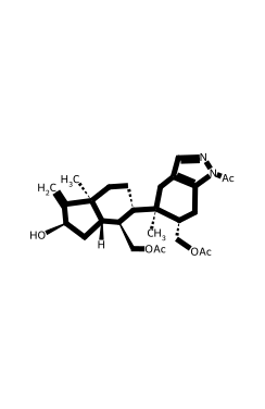 C=C1[C@H](O)C[C@H]2[C@H](COC(C)=O)[C@@H]([C@@]3(C)Cc4cnn(C(C)=O)c4C[C@@H]3COC(C)=O)CC[C@]12C